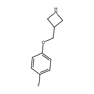 Fc1ccc(OCC2CNC2)cc1